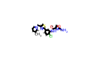 CC1CCCN(Cc2csc(-c3ccc(Cl)c(NC(=O)c4coc(N)n4)c3)n2)C1